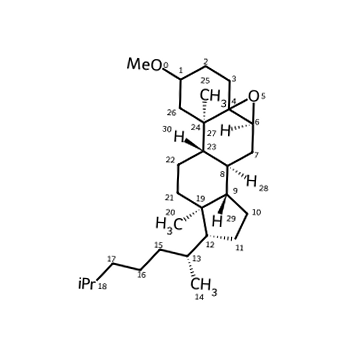 COC1CCC23O[C@H]2C[C@H]2[C@@H]4CC[C@H]([C@H](C)CCCC(C)C)[C@@]4(C)CC[C@@H]2[C@@]3(C)C1